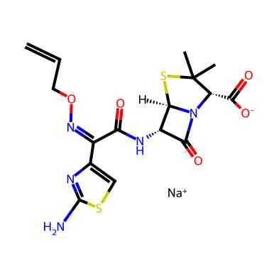 C=CCO/N=C(\C(=O)N[C@H]1C(=O)N2[C@@H]1SC(C)(C)[C@@H]2C(=O)[O-])c1csc(N)n1.[Na+]